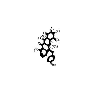 CC(=O)C1=C(O)C(C(C)C)[C@@]2(C)[C@H](O)[C@]3(C)C(=C(O)[C@@]2(O)C1=O)C(=O)c1c(O)cccc1/C3=C\c1ccc(C(C)(C)C)cc1